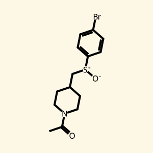 CC(=O)N1CCC(C[S+]([O-])c2ccc(Br)cc2)CC1